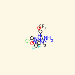 CC(Nc1ncnc(N)c1C#Cc1ccc(OC(F)(F)F)cc1)c1nc2cccc(Cl)c2c(=O)n1-c1cc(F)cc(F)c1